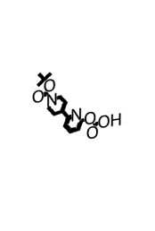 CC(C)(C)OC(=O)N1CC=C(c2cccc(OC(=O)O)n2)CC1